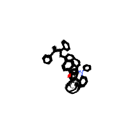 CC(c1ccccc1)C(Cc1ccc2ccc3c(N(c4ccccc4)c4cccc5c4-c4ccccc4C4CC6CC(C4)CC5C6)ccc4ccc1c2c43)c1ccccc1